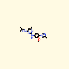 COc1cc(Nc2nc(C)cc(NCC(C)C)n2)ccc1-n1cnc(C)c1